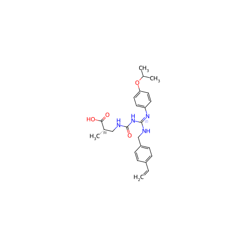 C=Cc1ccc(CN/C(=N/c2ccc(OC(C)C)cc2)NC(=O)NC[C@H](C)C(=O)O)cc1